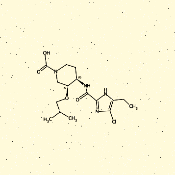 CCc1[nH]c(C(=O)N[C@@H]2CCN(C(=O)O)C[C@@H]2OCC(C)C)nc1Cl